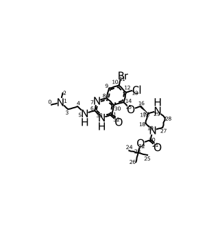 CN(C)CCNc1nc2cc(Br)c(Cl)c(OC[C@@H]3CN(C(=O)OC(C)(C)C)CCN3)c2c(=O)[nH]1